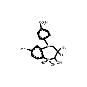 CCCCC1(CC)CN(c2ccc(C(=O)O)cc2)c2cc(SC)ccc2S(O)(O)C1O